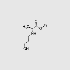 CCOC(=O)[C@H](C)NCCCO